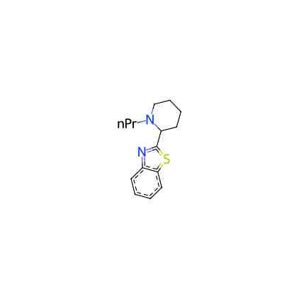 CCCN1CCCCC1c1nc2ccccc2s1